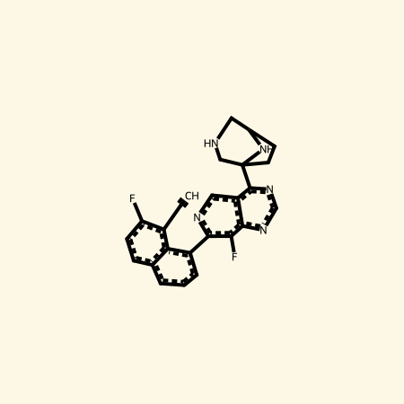 C#Cc1c(F)ccc2cccc(-c3ncc4c(C56CCC(CNC5)N6)ncnc4c3F)c12